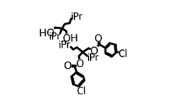 CC(C)CCC(CO)(CO)C(C)C.CC(C)CCC(COC(=O)c1ccc(Cl)cc1)(COC(=O)c1ccc(Cl)cc1)C(C)C